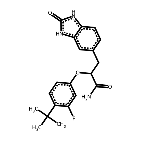 CC(C)(C)c1ccc(OC(Cc2ccc3[nH]c(=O)[nH]c3c2)C(N)=O)cc1F